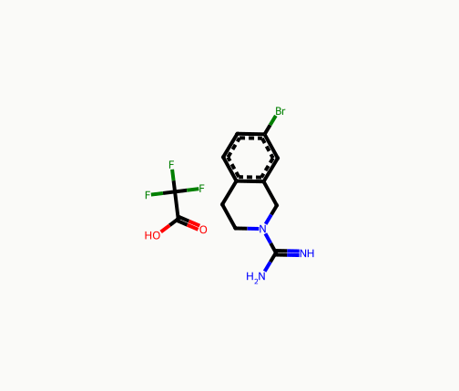 N=C(N)N1CCc2ccc(Br)cc2C1.O=C(O)C(F)(F)F